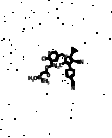 Cc1c(-c2ccc(C#N)cc2)c(C#N)c(C2CC2)n1Cc1cnc(Cl)c(COC(=O)CN(C)C)c1